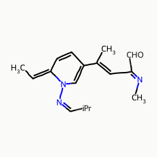 C/C=C1\C=CC(/C(C)=C/C(C=O)=N\C)=CN1/N=C\C(C)C